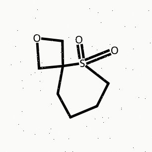 O=S1(=O)CCCCC12COC2